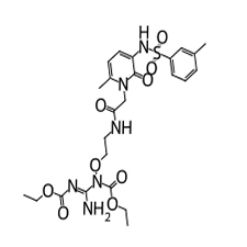 CCOC(=O)N=C(N)N(OCCNC(=O)Cn1c(C)ccc(NS(=O)(=O)c2cccc(C)c2)c1=O)C(=O)OCC